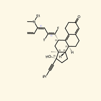 C=C/C(=C\C(F)=C(/F)[C@H]1C[C@@]2(C)[C@@H](CC[C@@]2(O)C#CC(C)C)[C@@H]2CCC3=CC(=O)CCC3=C21)N(C)CC